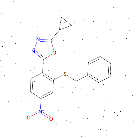 O=[N+]([O-])c1ccc(-c2nnc(C3CC3)o2)c(SCc2ccccc2)c1